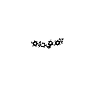 Cc1ccc(S(=O)(=O)N2CCC(n3ncc4c(Oc5ccc(S(C)(=O)=O)cc5)ncnc43)CC2)cc1